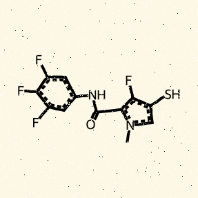 Cn1cc(S)c(F)c1C(=O)Nc1cc(F)c(F)c(F)c1